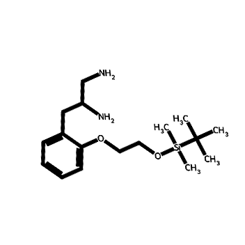 CC(C)(C)[Si](C)(C)OCCOc1ccccc1CC(N)CN